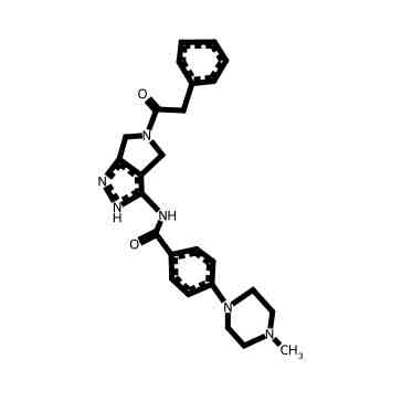 CN1CCN(c2ccc(C(=O)Nc3[nH]nc4c3CN(C(=O)Cc3ccccc3)C4)cc2)CC1